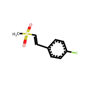 CS(=O)(=O)C=Cc1ccc(F)cc1